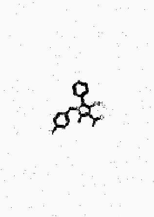 CC(=O)c1c(N)c(-c2ccccc2)n(Cc2ccc(Cl)cc2)c1C